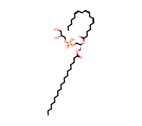 CCCCC/C=C\C/C=C\C/C=C\CCCCC(=O)O[C@H](COC(=O)CCCCCCCCCCCCCCCCCC)COP(=O)(O)OC[C@@H](O)CO